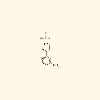 Nc1ccnc(-c2ccc(C(F)(F)F)cc2)c1